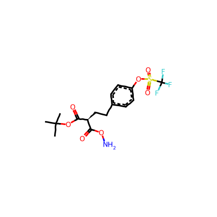 CC(C)(C)OC(=O)[C@@H](CCc1ccc(OS(=O)(=O)C(F)(F)F)cc1)C(=O)ON